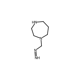 N=NCN1CCCNCC1